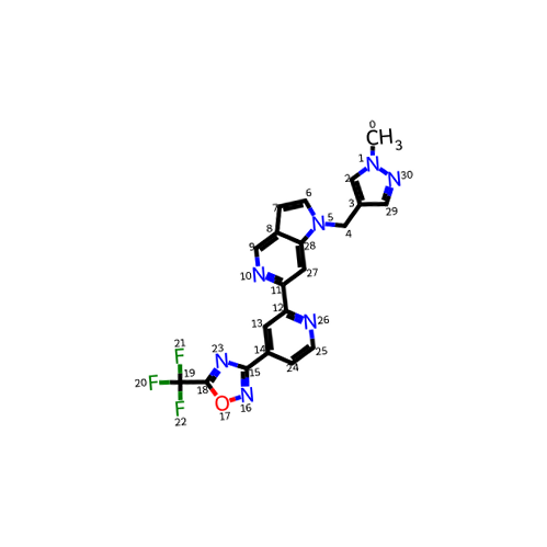 Cn1cc(Cn2ccc3cnc(-c4cc(-c5noc(C(F)(F)F)n5)ccn4)cc32)cn1